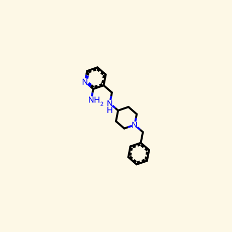 Nc1ncccc1CNC1CCN(Cc2ccccc2)CC1